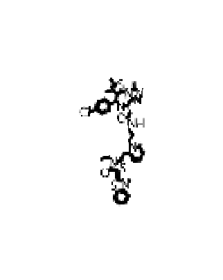 CCn1c(=O)/c(=C2\Sc3ccccc3N2C)s/c1=C\c1cccc[n+]1CCCNC(=O)C[C@@H]1N=C(c2ccc(Cl)cc2)c2c(sc(C)c2C)-n2c(C)nnc21